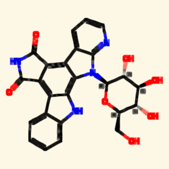 O=C1NC(=O)c2c1c1c3ccccc3[nH]c1c1c2c2cccnc2n1[C@@H]1O[C@H](CO)[C@@H](O)[C@H](O)[C@H]1O